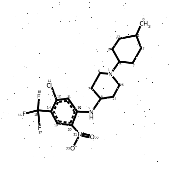 CC1CCC(N2CCC(Nc3cc(Cl)c(C(F)(F)F)cc3[N+](=O)[O-])CC2)CC1